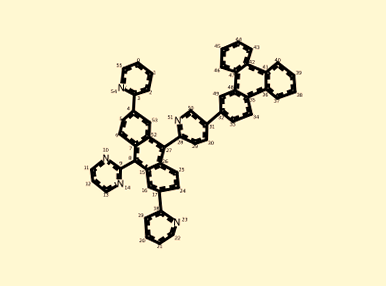 c1ccc(-c2ccc3c(-c4ncccn4)c4cc(-c5ccccn5)ccc4c(-c4ccc(-c5ccc6c7ccccc7c7ccccc7c6c5)cn4)c3c2)nc1